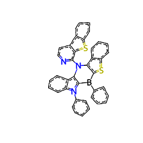 c1ccc(B2c3sc4ccccc4c3N(c3nccc4c3sc3ccccc34)c3c2n(-c2ccccc2)c2ccccc32)cc1